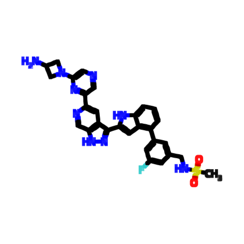 CS(=O)(=O)NCc1cc(F)cc(-c2cccc3[nH]c(-c4n[nH]c5cnc(-c6cncc(N7CC(N)C7)n6)cc45)cc23)c1